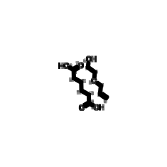 C=CCOCCO.O=C(O)CCCCC(=O)O